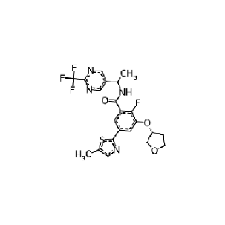 Cc1cnc(-c2cc(O[C@@H]3CCOC3)c(F)c(C(=O)NC(C)c3cnc(C(F)(F)F)nc3)c2)s1